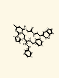 CC1=CC(NCC(=O)NCCC2=Cc3occc3OC2)N(CCC(NCc2ccccc2)NCc2ccccc2)C(n2ccnc2)=N1